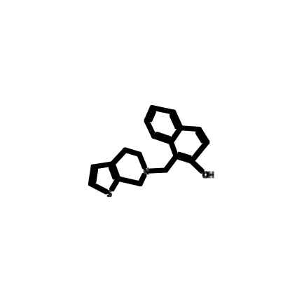 Oc1ccc2ccccc2c1CN1CCc2ccsc2C1